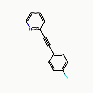 Fc1ccc(C#Cc2ccc[c]n2)cc1